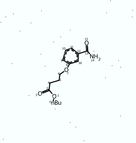 CCCCOC(=O)CCCOc1cccc(C(N)=O)c1